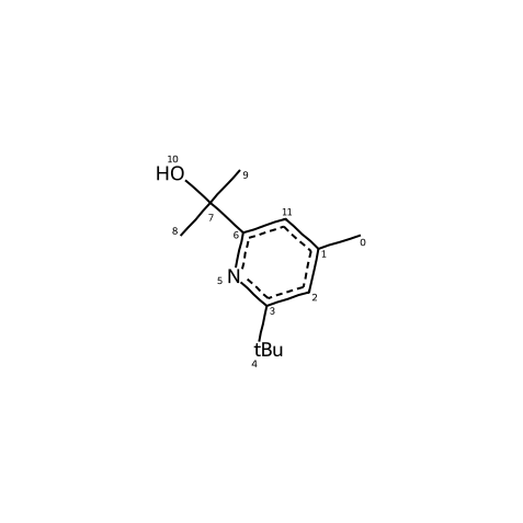 Cc1cc(C(C)(C)C)nc(C(C)(C)O)c1